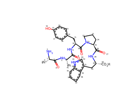 CC(C)[C@H](N)C(=O)N[C@H](C(=O)N[C@@H](Cc1ccc(O)cc1)C(=O)N1CCC[C@H]1C(=O)N[C@@H](Cc1c[nH]c2ccccc12)C(=O)O)C(C)C